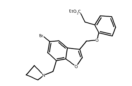 CCOC(=O)Cc1ccccc1OCc1coc2c(CN3CCC3)cc(Br)cc12